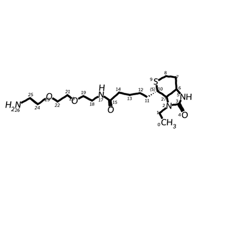 CCN1C(=O)NC2CCS[C@@H](CCCCC(=O)NCCOCCOCCN)C21